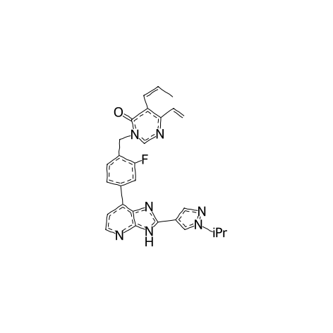 C=Cc1ncn(Cc2ccc(-c3ccnc4[nH]c(-c5cnn(C(C)C)c5)nc34)cc2F)c(=O)c1/C=C\C